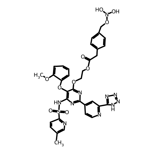 COc1ccccc1Oc1c(NS(=O)(=O)c2ccc(C)cn2)nc(-c2ccnc(-c3nnn[nH]3)c2)nc1OCCOC(=O)Cc1ccc(CON(O)O)cc1